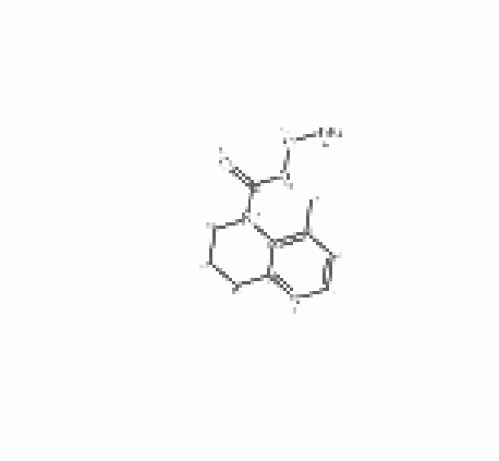 Cc1ccnc2c1N(C(=O)OOC(C)(C)C)CCC2